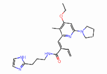 C=C/C(=C\c1nc(N2CCCC2)cc(OCC)c1C)C(=O)NCCCc1ncc[nH]1